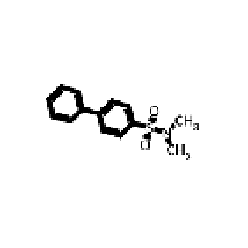 CN(C)S(=O)(=O)c1[c]cc(-c2ccccc2)cc1